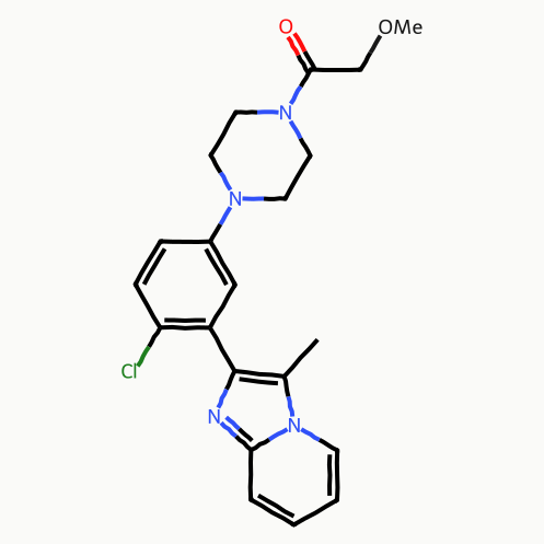 COCC(=O)N1CCN(c2ccc(Cl)c(-c3nc4ccccn4c3C)c2)CC1